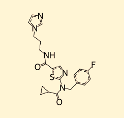 O=C(NCCCn1ccnc1)c1cnc(N(Cc2ccc(F)cc2)C(=O)C2CC2)s1